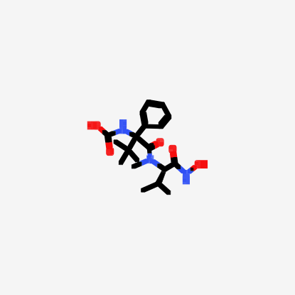 CC(C)[C@H](C(=O)NO)N(C)C(=O)C(NC(=O)O)(c1ccccc1)C(C)(C)C